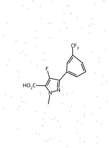 Cn1nc(-c2cccc(C(F)(F)F)c2)c(F)c1C(=O)O